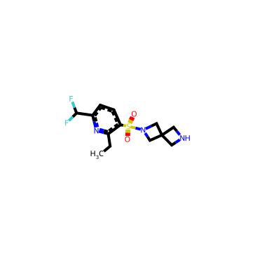 CCc1nc(C(F)F)ccc1S(=O)(=O)N1CC2(CNC2)C1